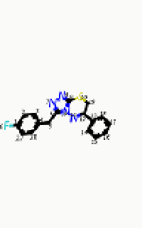 Fc1ccc(Cc2nnc3n2N=C(c2ccccc2)CS3)cc1